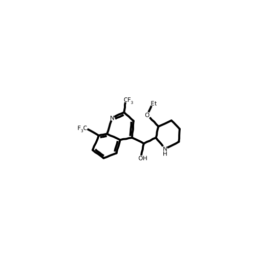 CCOC1CCCNC1C(O)c1cc(C(F)(F)F)nc2c(C(F)(F)F)cccc12